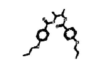 CCCOc1ccc(C(=O)OC(C)C(C)OC(=O)c2ccc(OCCC)cc2)cc1